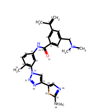 C=C(C)c1cc(CN(C)C)cc(C(=O)Nc2ccc(C)c(-n3cc(-c4cnc(NC(C)=O)s4)nn3)c2)c1